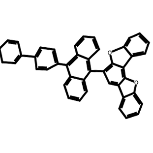 C1=CC(c2ccc(-c3c4ccccc4c(-c4cc5c6ccccc6oc5c5c4oc4ccccc45)c4ccccc34)cc2)=CCC1